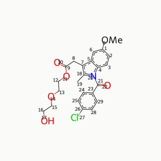 COc1ccc2c(c1)c(CC(=O)OCCOCCO)c(C)n2C(=O)c1ccc(Cl)cc1